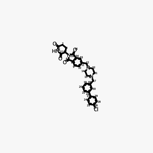 O=C1CCC(N2C(=O)c3ccc(CN4CCN(Cc5cccc(-c6ccc(Cl)cc6)c5)CC4)cc3C2=O)C(=O)N1